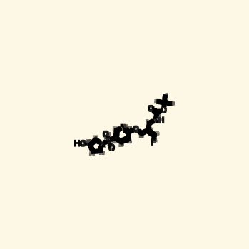 CC(C)(C)OC(=O)NC/C(=C/F)COc1ccc(S(=O)(=O)N2CC[C@H](O)C2)cn1